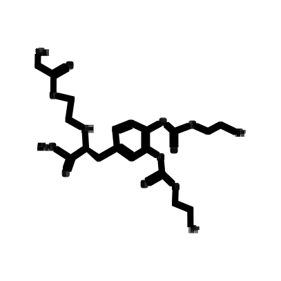 COC(=O)[C@H](Cc1ccc(OC(=O)OCCC(C)C)c(OC(=O)OCCC(C)C)c1)NCCOC(=O)CC(C)(C)C